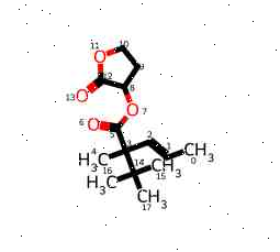 CC=CC(C)(C(=O)OC1CCOC1=O)C(C)(C)C